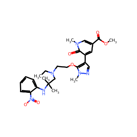 CCN(CCOc1c(-c2cc(C(=O)OC)cn(C)c2=O)cnn1C)CC(C)(C)Nc1ccccc1[N+](=O)[O-]